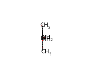 CCCCCCCCCCCCCCN(CCCCCCCCCCCCCC)C(=N)N